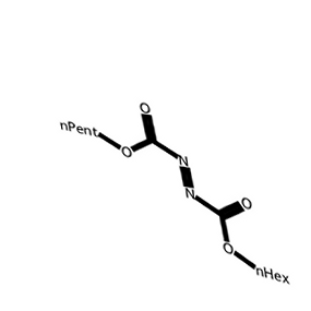 CCCCCCOC(=O)N=NC(=O)OCCCCC